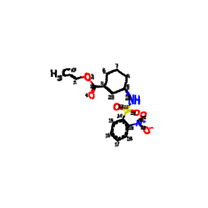 CCOC(=O)[C@H]1CCC[C@@H](NS(=O)(=O)c2ccccc2[N+](=O)[O-])C1